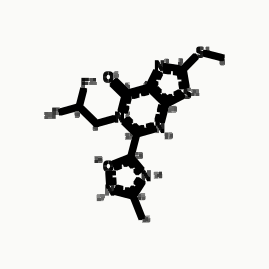 CSc1nc2c(=O)n(CC(F)F)c(-c3nc(C)no3)nc2s1